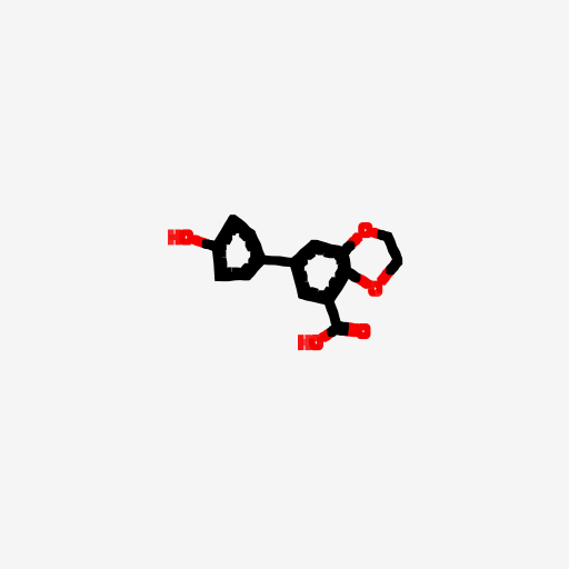 O=C(O)c1cc(-c2ccc(O)cc2)cc2c1OCCO2